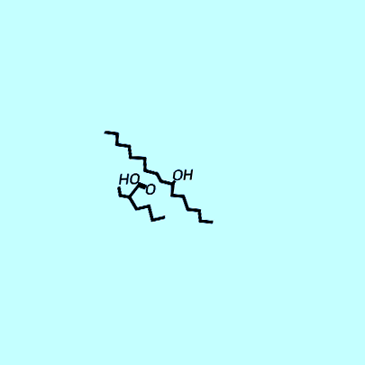 CCCCC(CC)C(=O)O.CCCCCCCCCC(O)CCCCCC